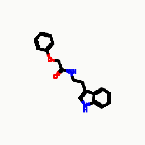 O=C(COc1ccccc1)NCCc1c[nH]c2ccccc12